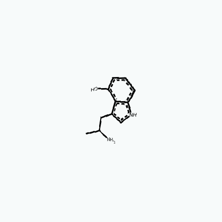 CC(N)Cc1c[nH]c2cccc(O)c12